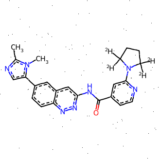 [2H]C1([2H])CCC([2H])([2H])N1c1cc(C(=O)Nc2cc3cc(-c4cnc(C)n4C)ccc3nn2)ccn1